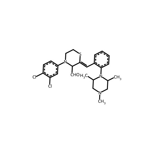 CC1CN(C)CC(C)N1c1ccccc1C=C1SCCN(c2ccc(Cl)c(Cl)c2)C1C=O